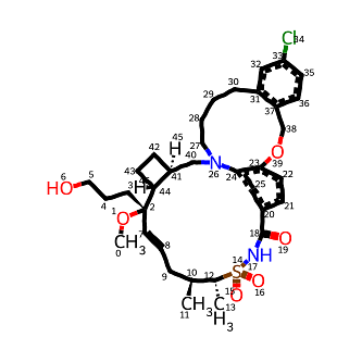 CO[C@@]1(CCCO)/C=C/C[C@H](C)[C@@H](C)S(=O)(=O)NC(=O)c2ccc3c(c2)N(CCCCc2cc(Cl)ccc2CO3)C[C@@H]2CC[C@H]21